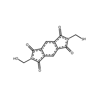 O=c1c2cc3c(=O)n(CS)c(=O)c3cc2c(=O)n1CO